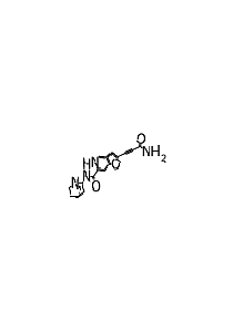 NC(=O)C#Cc1cc2cnc(C(=O)NC3CC4CCN3C4)cc2o1